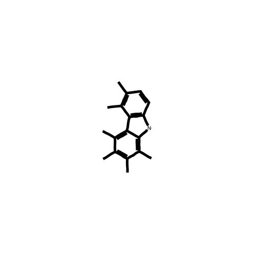 Cc1ccc2c(c1C)-c1c(C)c(C)c(C)c(C)c1[N]2